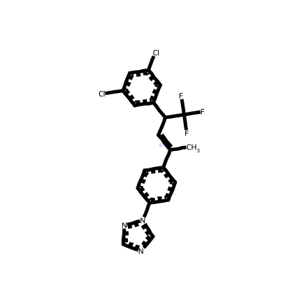 C/C(=C\C(c1cc(Cl)cc(Cl)c1)C(F)(F)F)c1ccc(-n2cncn2)cc1